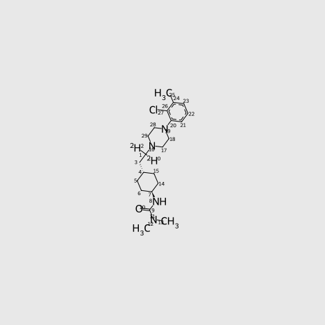 [2H]C([2H])(C[C@H]1CC[C@H](NC(=O)N(C)C)CC1)N1CCN(c2cccc(C)c2Cl)CC1